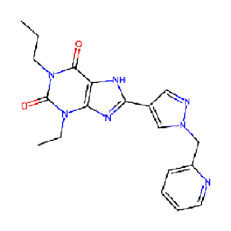 CCCn1c(=O)c2[nH]c(-c3cnn(Cc4ccccn4)c3)nc2n(CC)c1=O